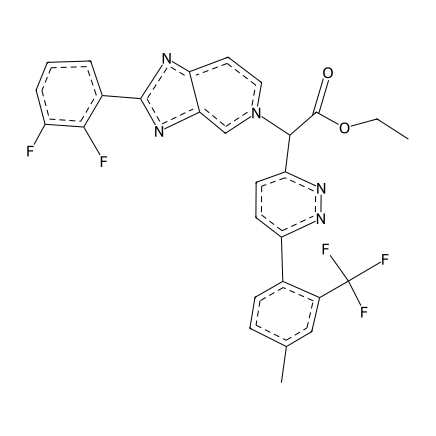 CCOC(=O)C(c1ccc(-c2ccc(C)cc2C(F)(F)F)nn1)n1ccc2nc(-c3cccc(F)c3F)nc-2c1